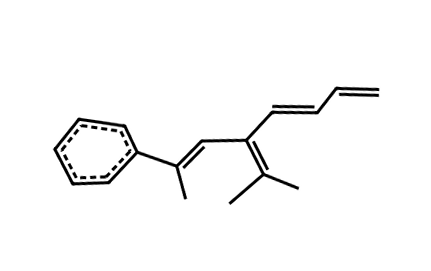 C=CC=CC(C=C(C)c1ccccc1)=C(C)C